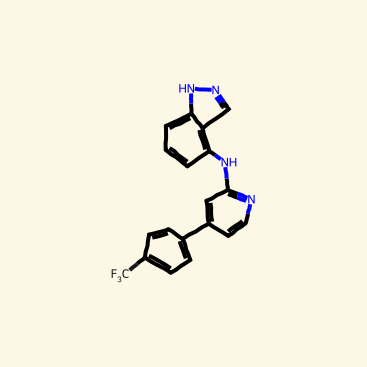 FC(F)(F)c1ccc(-c2ccnc(Nc3cccc4[nH]ncc34)c2)cc1